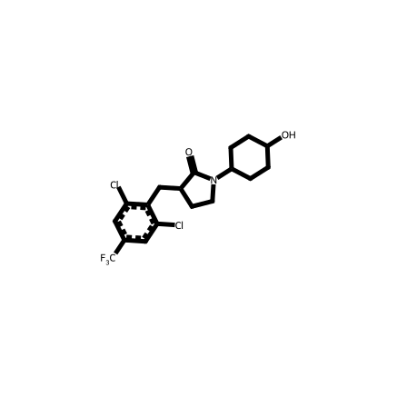 O=C1C(Cc2c(Cl)cc(C(F)(F)F)cc2Cl)CCN1C1CCC(O)CC1